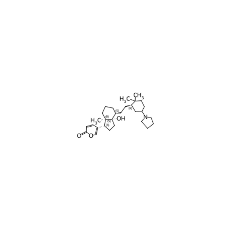 CC1(C)CCC(N2CCCC2)C[C@H]1CC[C@@H]1CCC[C@]2(C)[C@@H](c3ccc(=O)oc3)CC[C@]12O